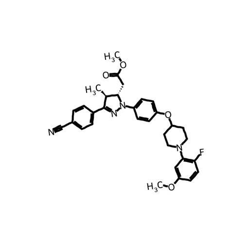 COC(=O)C[C@H]1[C@H](C)C(c2ccc(C#N)cc2)=NN1c1ccc(OC2CCN(c3cc(OC)ccc3F)CC2)cc1